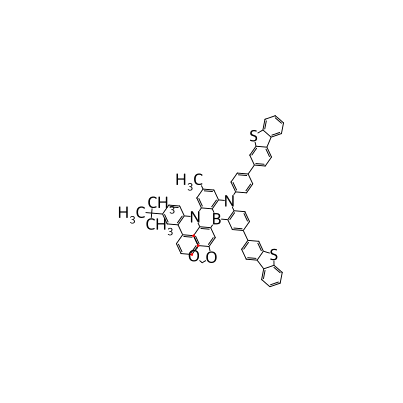 Cc1cc2c3c(c1)N(c1ccc(C(C)(C)C)cc1-c1ccccc1)c1cc4c(cc1B3c1cc(-c3ccc5c(c3)sc3ccccc35)ccc1N2c1ccc(-c2ccc3c(c2)sc2ccccc23)cc1)OCO4